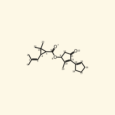 CC(C)=CC1C(C(=O)OC2CC(=O)C(C3=CCCC3)=C2C)C1(C)C